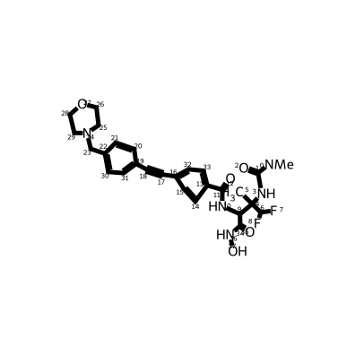 CNC(=O)NC(C)(C(F)F)C(NC(=O)c1ccc(C#Cc2ccc(CN3CCOCC3)cc2)cc1)C(=O)NO